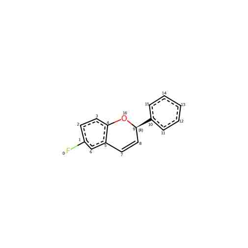 Fc1ccc2c(c1)C=C[C@H](c1ccccc1)O2